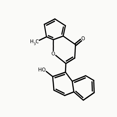 Cc1cccc2c(=O)cc(-c3c(O)ccc4ccccc34)oc12